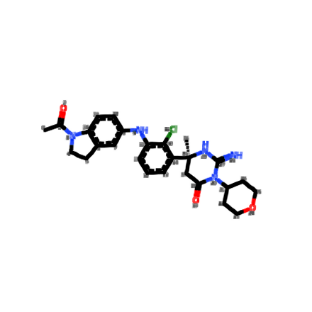 CC(=O)N1CCc2cc(Nc3cccc([C@]4(C)CC(=O)N(C5CCOCC5)C(=N)N4)c3Cl)ccc21